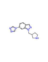 c1cc2cnn(CC3CCNC3)c2cc1-n1cnnc1